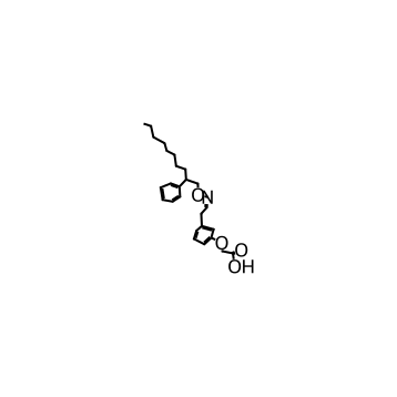 CCCCCCCCC(CO/N=C\Cc1cccc(OCC(=O)O)c1)c1ccccc1